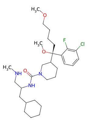 CNCC(CC1CCCCC1)NC(=O)N1CCCC([C@](CCCCOC)(OC)c2cccc(Cl)c2F)C1